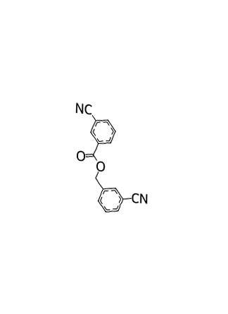 N#Cc1cccc(COC(=O)c2cccc(C#N)c2)c1